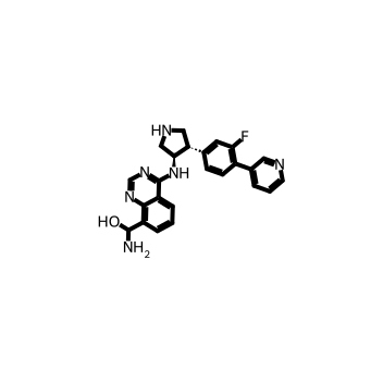 NC(O)c1cccc2c(N[C@H]3CNC[C@@H]3c3ccc(-c4cccnc4)c(F)c3)ncnc12